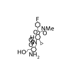 CNC(=O)c1c(-c2ccc(F)cc2)oc2cc(N(Cc3ccc(N)c(CCO)c3)[SH](=O)=O)c(C3CC3)cc12